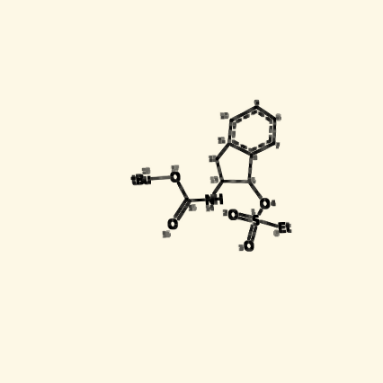 CCS(=O)(=O)OC1c2ccccc2CC1NC(=O)OC(C)(C)C